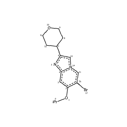 CC(C)Oc1cc2nc(C3CCOCC3)cn2cc1Br